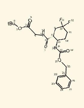 CC(C)(C)OC(=O)CNC(=O)[C@@H]1CC(F)(F)CC[C@H]1NC(=O)OCc1ccccc1